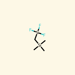 C[Si](C)(C)C[Si](F)(F)F